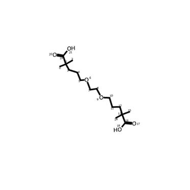 CC(C)(CCCOCCOCCCC(C)(C)C(=O)O)C(=O)O